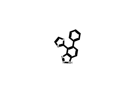 c1ccc(-c2ccc3[nH]nnc3c2-c2nccs2)cc1